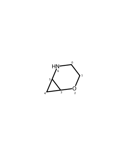 C1COC2CC2N1